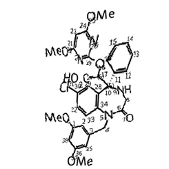 COc1cc(CN2C(=O)CN[C@](c3ccccc3)([C@H](Oc3nc(OC)cc(OC)n3)C(=O)O)c3cc(Cl)ccc32)cc(OC)c1